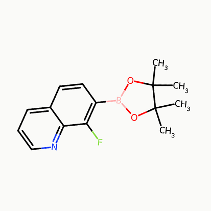 CC1(C)OB(c2ccc3cccnc3c2F)OC1(C)C